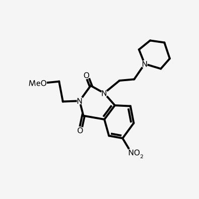 COCCn1c(=O)c2cc([N+](=O)[O-])ccc2n(CCN2CCCCC2)c1=O